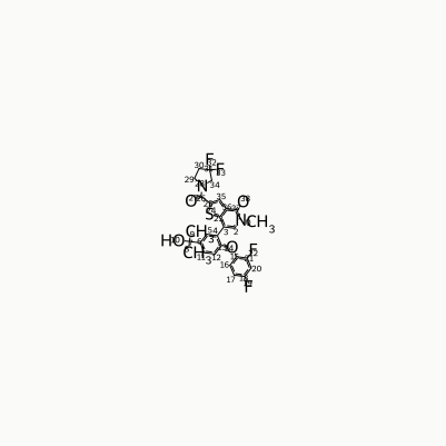 Cn1cc(-c2cc(C(C)(C)O)ccc2Oc2ccc(F)cc2F)c2sc(C(=O)N3CCC(F)(F)C3)cc2c1=O